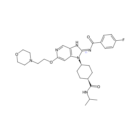 CC(C)NC(=O)[C@H]1CC[C@@H](n2/c(=N/C(=O)c3ccc(F)cc3)[nH]c3cnc(OCCN4CCOCC4)cc32)CC1